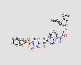 COc1ccc(COC(=O)Nc2ncnc3c2ncn3CC(=O)N2CCN(S(=O)(=O)c3nc4ccccc4s3)C(=O)C2)cc1OC